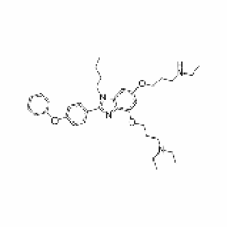 CCCCn1c(-c2ccc(Oc3ccccc3)cc2)nc2c(OCCCN(CC)CC)cc(OCCCNCC)cc21